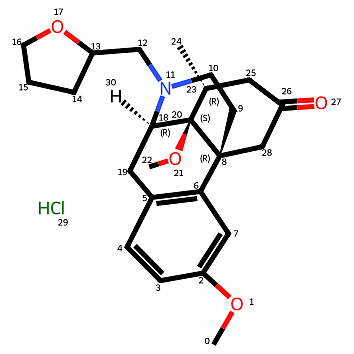 COc1ccc2c(c1)[C@]13CCN(CC4CCCO4)[C@H](C2)[C@]1(OC)[C@H](C)CC(=O)C3.Cl